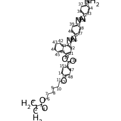 C=C(C)C(=O)OCCCCCCOc1ccc(C(=O)Oc2ccc(/N=N/c3ccc(/N=N/c4ccc(N)cc4)cc3)c3ccccc23)cc1